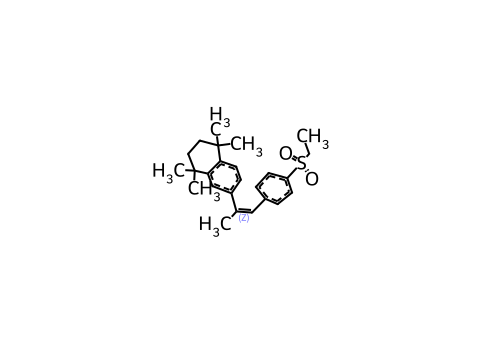 CCS(=O)(=O)c1ccc(/C=C(/C)c2ccc3c(c2)C(C)(C)CCC3(C)C)cc1